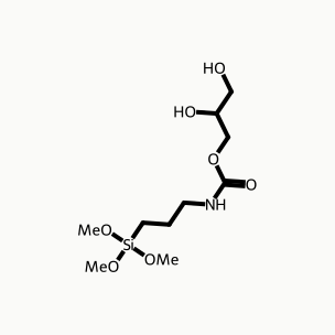 CO[Si](CCCNC(=O)OCC(O)CO)(OC)OC